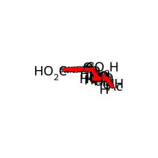 CC(=O)CNC(=O)CNC(=O)[C@H](CO)NC(=O)CNC(=O)[C@H](CO)NC(=O)CNC(=O)CC[C@H](NC(=O)CCCCCCCCCCCCCCCCC(=O)O)C(=O)O